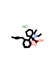 CC#CCc1ccccc1C1(C(O)(C(=O)O)N(CC)CC)CCCCC1.Cl